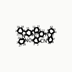 N#Cc1ccc(C#N)c(-n2c3ccccc3c3cc4c5ccccc5n(-c5ccccc5)c4cc32)c1-c1cccc(-n2c3ccccc3c3ccccc32)c1